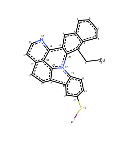 CC(C)(C)Cc1c2ccccc2cc2c3nccc4ccc5c6cc(SI)ccc6n(c12)c5c43